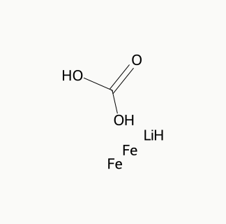 O=C(O)O.[Fe].[Fe].[LiH]